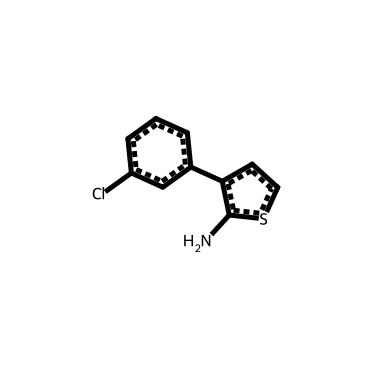 Nc1sccc1-c1cccc(Cl)c1